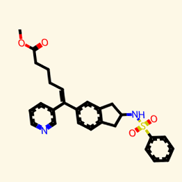 COC(=O)CCCC=C(c1cccnc1)c1ccc2c(c1)CC(NS(=O)(=O)c1ccccc1)C2